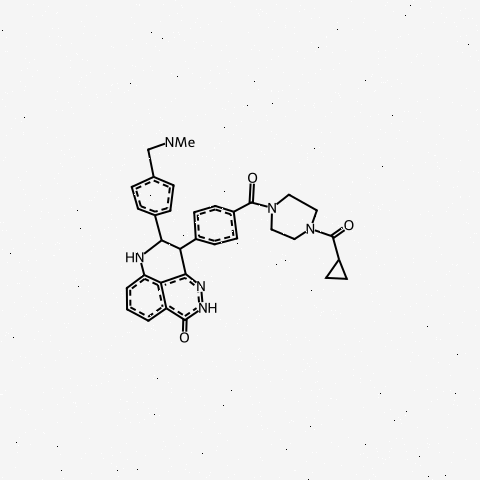 CNCc1ccc(C2Nc3cccc4c(=O)[nH]nc(c34)C2c2ccc(C(=O)N3CCN(C(=O)C4CC4)CC3)cc2)cc1